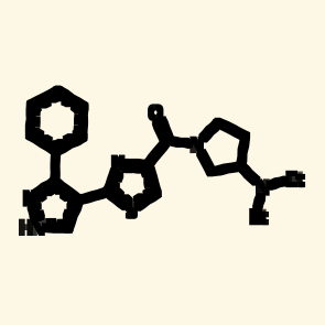 CCN(CC)C1CCN(C(=O)c2csc(-c3c[nH]nc3-c3ccccc3)n2)C1